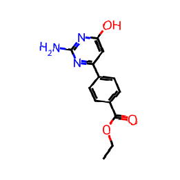 CCOC(=O)c1ccc(-c2cc(O)nc(N)n2)cc1